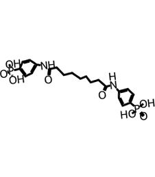 O=C(CCCCCCCC(=O)Nc1ccc(P(=O)(O)O)cc1)Nc1ccc(P(=O)(O)O)cc1